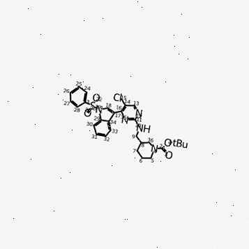 CC(C)(C)OC(=O)N1CCCC(CNc2ncc(Cl)c(-c3cn(S(=O)(=O)c4ccccc4)c4ccccc34)n2)C1